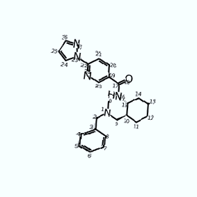 CN(Cc1ccccc1)C[C@@H]1CCCC[C@H]1NC(=O)c1ccc(-n2cccn2)nc1